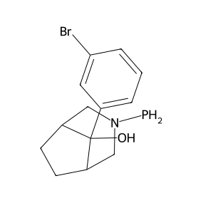 OC1(c2cccc(Br)c2)C2CCC1CN(P)C2